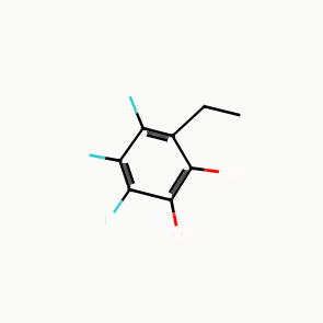 CCc1c(O)c(O)c(F)c(F)c1F